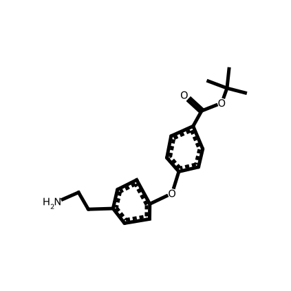 CC(C)(C)OC(=O)c1ccc(Oc2ccc(CCN)cc2)cc1